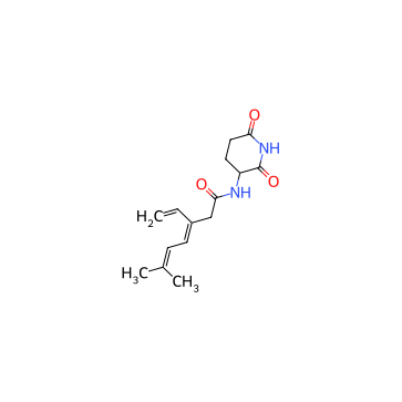 C=C/C(=C\C=C(C)C)CC(=O)NC1CCC(=O)NC1=O